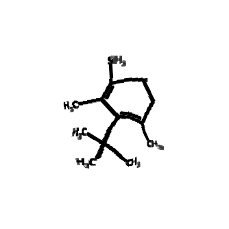 CC1=C(C(C)(C)C)C(C)=C([SiH3])[C]C1